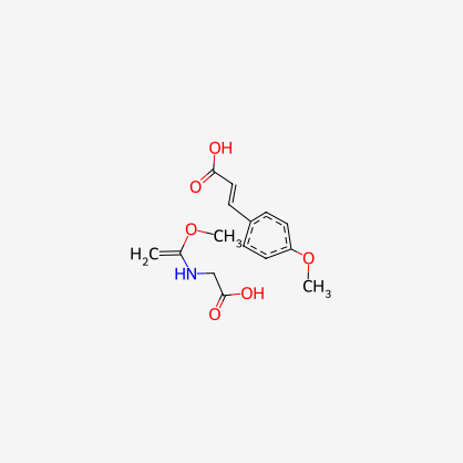 C=C(NCC(=O)O)OC.COc1ccc(C=CC(=O)O)cc1